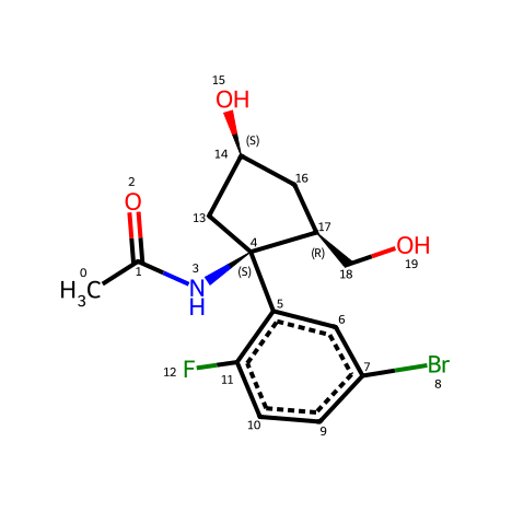 CC(=O)N[C@@]1(c2cc(Br)ccc2F)C[C@@H](O)C[C@H]1CO